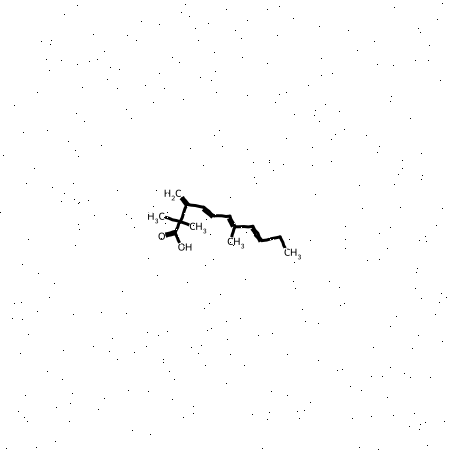 C=C(/C=C/C=C(C)/C=C/CC)C(C)(C)C(=O)O